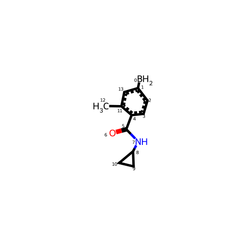 Bc1ccc(C(=O)NC2CC2)c(C)c1